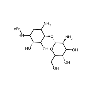 CCCNC1CC(N)[C@@H](O[C@H]2OC(CO)[C@@H](O)C(O)[C@@H]2N)C(O)[C@@H]1O